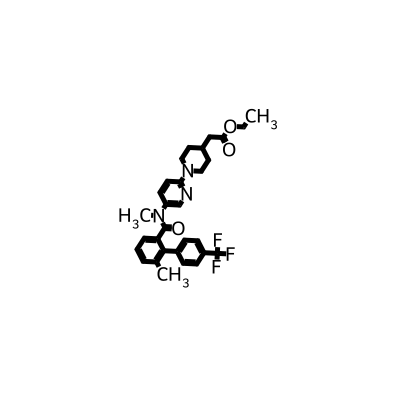 CCOC(=O)CC1CCN(c2ccc(N(C)C(=O)c3cccc(C)c3-c3ccc(C(F)(F)F)cc3)cn2)CC1